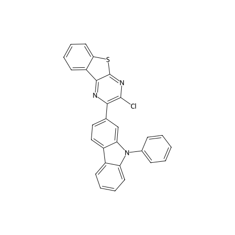 Clc1nc2sc3ccccc3c2nc1-c1ccc2c3ccccc3n(-c3ccccc3)c2c1